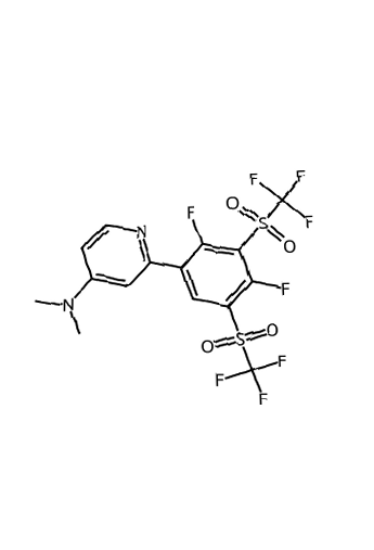 CN(C)c1ccnc(-c2cc(S(=O)(=O)C(F)(F)F)c(F)c(S(=O)(=O)C(F)(F)F)c2F)c1